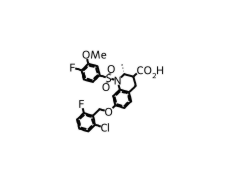 COc1cc(S(=O)(=O)N2c3cc(OCc4c(F)cccc4Cl)ccc3CC(C(=O)O)[C@H]2C)ccc1F